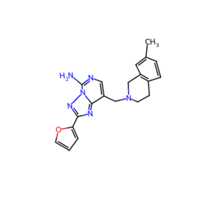 Cc1ccc2c(c1)CN(Cc1cnc(N)n3nc(-c4ccco4)nc13)CC2